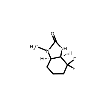 CN1C(=O)N[C@@H]2[C@H]1CCCC2(F)F